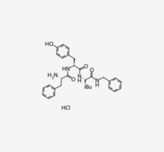 CC[C@H](C)[C@H](NC(=O)[C@H](Cc1ccc(O)cc1)NC(=O)[C@@H](N)Cc1ccccc1)C(=O)NCc1ccccc1.Cl